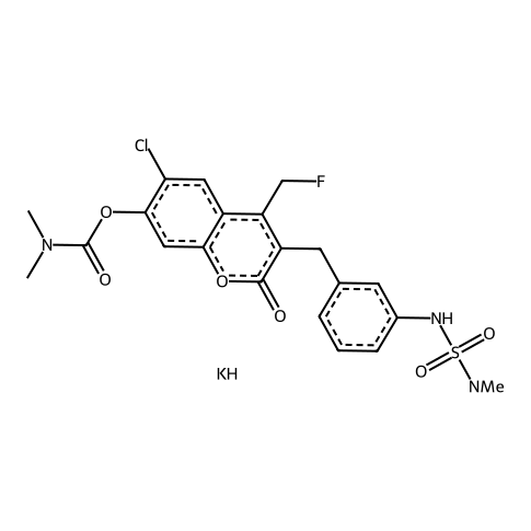 CNS(=O)(=O)Nc1cccc(Cc2c(CF)c3cc(Cl)c(OC(=O)N(C)C)cc3oc2=O)c1.[KH]